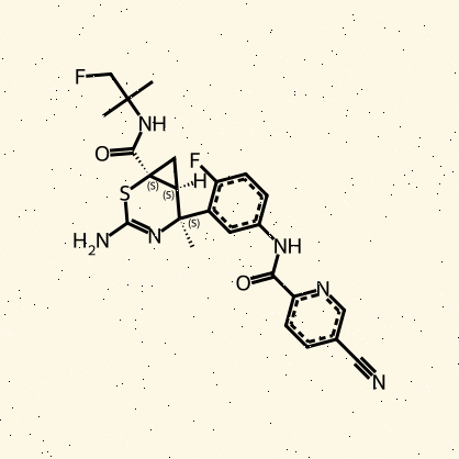 CC(C)(CF)NC(=O)[C@]12C[C@H]1[C@@](C)(c1cc(NC(=O)c3ccc(C#N)cn3)ccc1F)N=C(N)S2